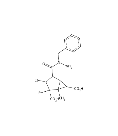 CCC1C(C(=O)N(N)Cc2ccccc2)C2C(C(=O)O)C2(C)C1(CC)C(=O)O